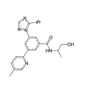 Cc1ccc(-c2cc(C(=O)NC(C)CO)cc(-n3ncnc3C(C)C)c2)nc1